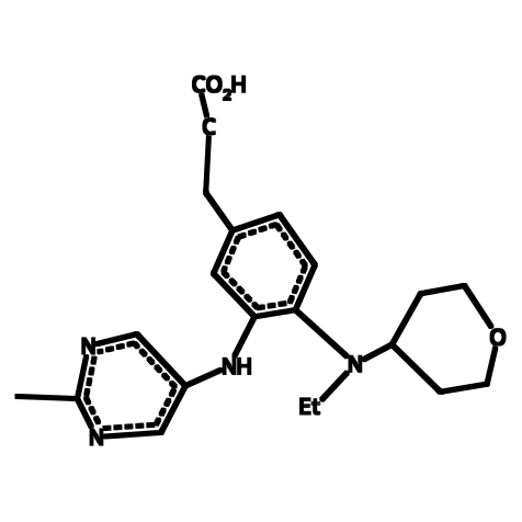 CCN(c1ccc(CCC(=O)O)cc1Nc1cnc(C)nc1)C1CCOCC1